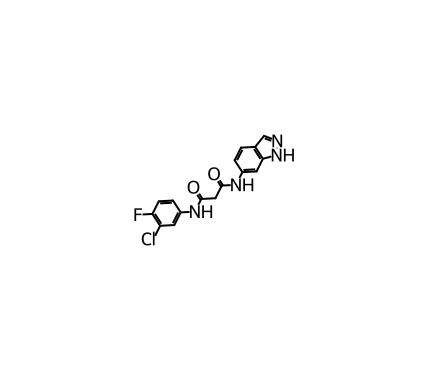 O=C(CC(=O)Nc1ccc2cn[nH]c2c1)Nc1ccc(F)c(Cl)c1